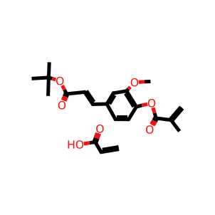 C=C(C)C(=O)Oc1ccc(/C=C/C(=O)OC(C)(C)C)cc1OC.C=CC(=O)O